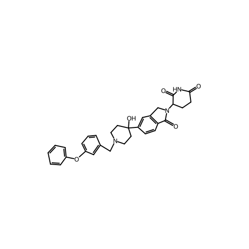 O=C1CCC(N2Cc3cc(C4(O)CCN(Cc5cccc(Oc6ccccc6)c5)CC4)ccc3C2=O)C(=O)N1